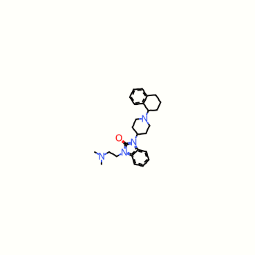 CN(C)CCn1c(=O)n(C2CCN(C3CCCc4ccccc43)CC2)c2ccccc21